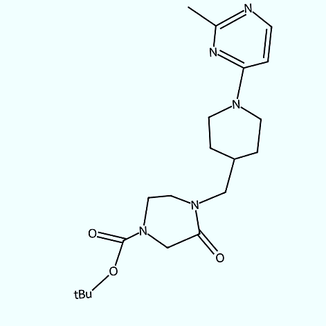 Cc1nccc(N2CCC(CN3CCN(C(=O)OC(C)(C)C)CC3=O)CC2)n1